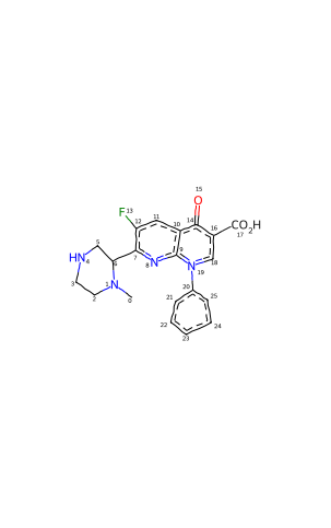 CN1CCNCC1c1nc2c(cc1F)c(=O)c(C(=O)O)cn2-c1ccccc1